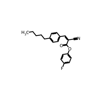 CCCCCc1ccc(C=C(C#N)C(=O)Oc2ccc(F)cc2)cc1